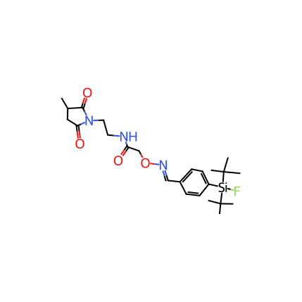 CC1CC(=O)N(CCNC(=O)CO/N=C/c2ccc([Si](F)(C(C)(C)C)C(C)(C)C)cc2)C1=O